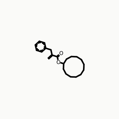 C=C(Cc1ccccc1)C(=O)OC1CCCCCCCCCCC1